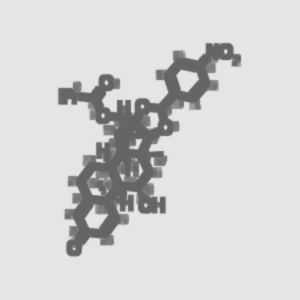 CC(C)C(=O)OCC(=O)[C@@]12OC(c3ccc([N+](=O)[O-])cc3)O[C@@H]1C[C@H]1[C@@H]3CCC4=CC(=O)C=C[C@]4(C)[C@H]3[C@@H](O)C[C@@]12C